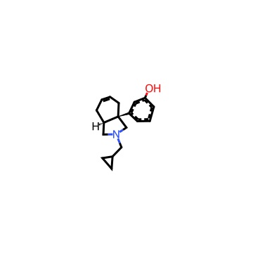 Oc1cccc([C@]23CC=CC[C@@H]2CN(CC2CC2)C3)c1